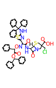 O=C(NC1C(=O)N2CC(CCl)(C(=O)O)CS[C@H]12)C(=NOC(C(=O)OC(c1ccccc1)c1ccccc1)c1ccccc1)c1csc(NC(c2ccccc2)(c2ccccc2)c2ccccc2)n1